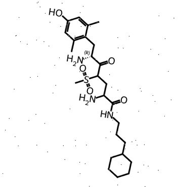 Cc1cc(O)cc(C)c1C[C@@H](N)C(=O)C(CC(N)C(=O)NCCCC1CCCCC1)S(C)(=O)=O